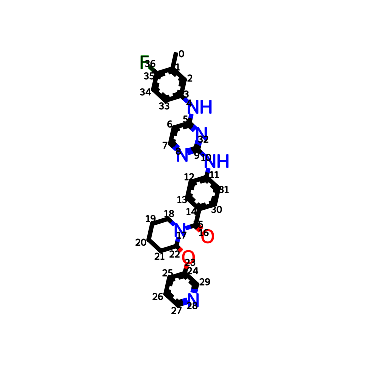 Cc1cc(Nc2ccnc(Nc3ccc(C(=O)N4CCCCC4Oc4cccnc4)cc3)n2)ccc1F